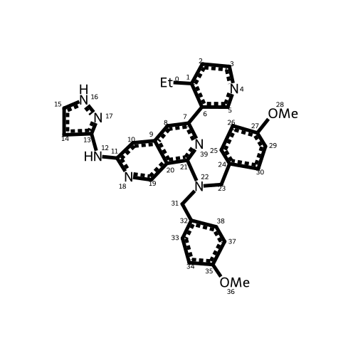 CCc1ccncc1-c1cc2cc(Nc3cc[nH]n3)ncc2c(N(Cc2ccc(OC)cc2)Cc2ccc(OC)cc2)n1